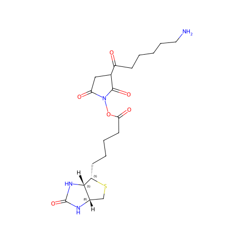 NCCCCCC(=O)C1CC(=O)N(OC(=O)CCCC[C@@H]2SC[C@@H]3NC(=O)N[C@@H]32)C1=O